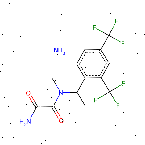 CC(c1ccc(C(F)(F)F)cc1C(F)(F)F)N(C)C(=O)C(N)=O.N